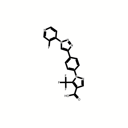 O=C(O)c1cnn(-c2ccc(-c3cn(-c4ccncc4F)nn3)cc2)c1C(F)(F)F